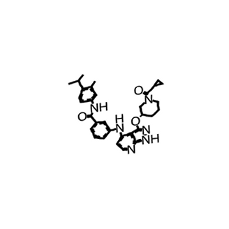 Cc1cc(NC(=O)c2cccc(Nc3ccnc4[nH]nc(O[C@@H]5CCCN(C(=O)C6CC6)C5)c34)c2)ccc1C(C)C